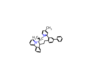 C=CC1C(CCc2ccc(-c3ccccc3)cc2-c2cc(C)cc[n+]2C)c2ccccc2-c2cccc[n+]21